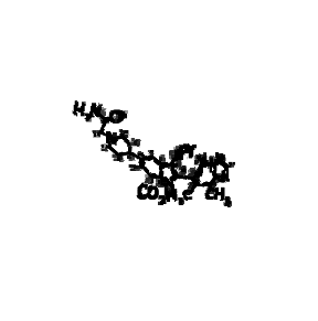 Cc1c(-c2c(C(C)C)c3cc(C4CCN(CC(N)=O)CC4)ccc3n2C(=O)O)cn2ncnc2c1C